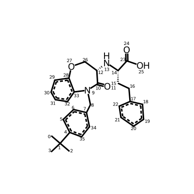 CC(C)(C)c1ccc(CN2C(=O)[C@@H](N[C@@H](CCc3ccccc3)C(=O)O)COc3ccccc32)cc1